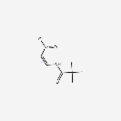 CC(C)(C)C(=O)N/C=C\[N+](=O)[O-]